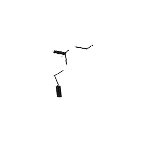 C#CCOC(=O)OCC(F)(F)F